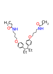 C=CC(=O)NCCCCOc1ccc(C(CC)C(CC)c2ccc(OCCCCNC(=O)C=C)cc2)cc1